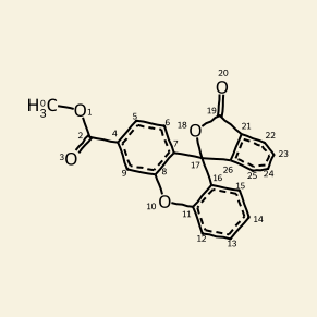 COC(=O)c1ccc2c(c1)Oc1ccccc1C21OC(=O)c2ccccc21